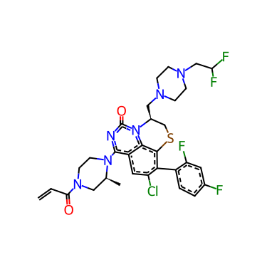 C=CC(=O)N1CCN(c2nc(=O)n3c4c(c(-c5ccc(F)cc5F)c(Cl)cc24)SC[C@@H]3CN2CCN(CC(F)F)CC2)[C@@H](C)C1